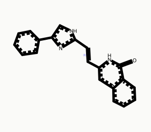 O=c1[nH]c(/C=C/c2nc(-c3ccccc3)c[nH]2)cc2ccccc12